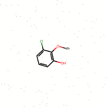 CC(C)Oc1c(O)cccc1Cl